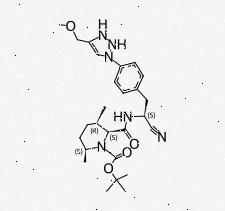 COCC1=CN(c2ccc(C[C@@H](C#N)NC(=O)[C@@H]3[C@H](C)CC[C@H](C)N3C(=O)OC(C)(C)C)cc2)NN1